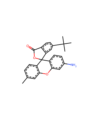 Cc1ccc2c(c1)Oc1cc(N)ccc1C21OC(=O)c2ccc(C(C)(C)C)cc21